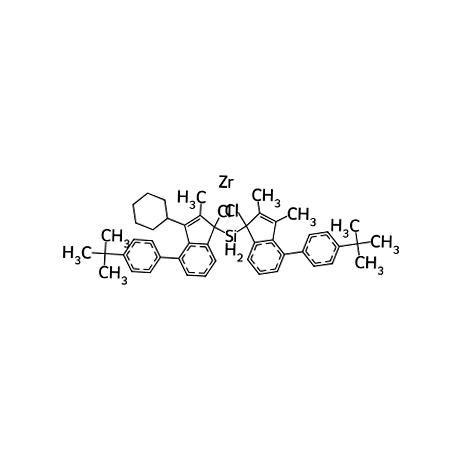 CC1=C(C)C(Cl)([SiH2]C2(Cl)C(C)=C(C3CCCCC3)c3c(-c4ccc(C(C)(C)C)cc4)cccc32)c2cccc(-c3ccc(C(C)(C)C)cc3)c21.[Zr]